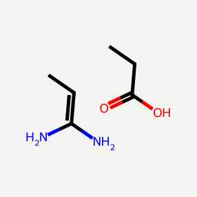 CC=C(N)N.CCC(=O)O